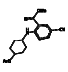 COC(=O)c1cc(C#N)ccc1NC1CCC(OC(C)=O)CC1